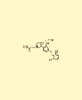 Cl.O=C(O)CCN1CCOC(c2ccc(OCc3c(Cl)cccc3Cl)cc2C(F)(F)F)C1